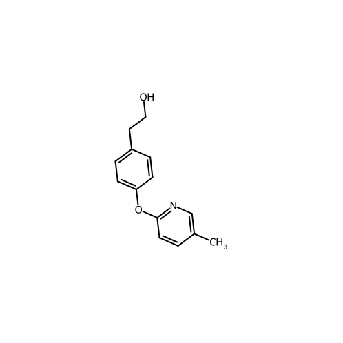 Cc1ccc(Oc2ccc(CCO)cc2)nc1